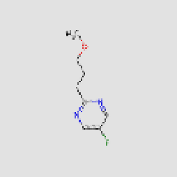 COCCCc1ncc(F)cn1